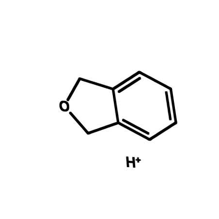 [H+].c1ccc2c(c1)COC2